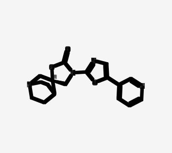 O=C1O[C@]2(CN3CCC2CC3)CN1c1ncc(-c2cccnc2)o1